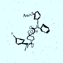 COc1cccc(N(C(=O)CC2(C(=O)O)CCN(C(=O)N(C)c3ccc(F)cc3)CC2)c2ccccc2)c1